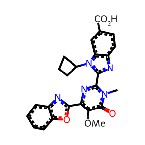 COc1c(-c2nc3ccccc3o2)nc(-c2nc3ccc(C(=O)O)cc3n2C2CCC2)n(C)c1=O